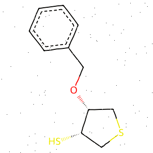 S[C@H]1CSC[C@H]1OCc1ccccc1